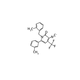 [C-]#[N+]c1c(C(F)(F)F)cc(-c2cccc(C)c2)n(Cc2ccccc2C)c1=O